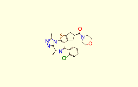 Cc1nnc2n1-c1sc3c(c1C(c1ccccc1Cl)=N[C@H]2C)C[C@H](C(=O)N1CCOCC1)C3